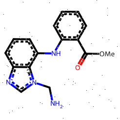 COC(=O)c1ccccc1Nc1cccc2ncn(CN)c12